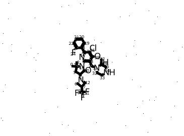 CC1(C)CC(N2CC(C(F)(F)F)C2)CN1c1nc(-c2ccccc2F)c(Cl)c2c1C(=O)N1CCNC[C@@H]1CO2